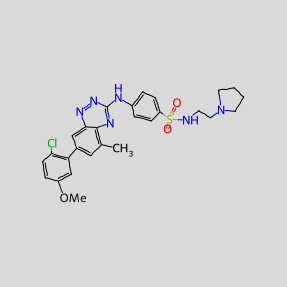 COc1ccc(Cl)c(-c2cc(C)c3nc(Nc4ccc(S(=O)(=O)NCCN5CCCC5)cc4)nnc3c2)c1